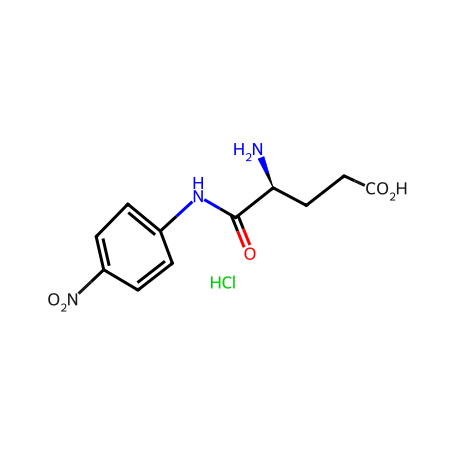 Cl.N[C@@H](CCC(=O)O)C(=O)Nc1ccc([N+](=O)[O-])cc1